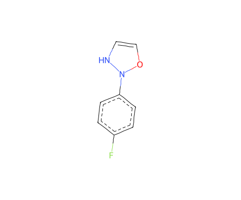 Fc1ccc(N2NC=CO2)cc1